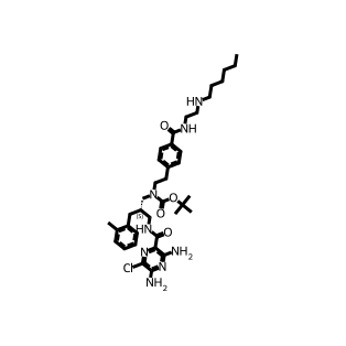 CCCCCCNCCNC(=O)c1ccc(CCN(C[C@H](CNC(=O)c2nc(Cl)c(N)nc2N)Cc2ccccc2C)C(=O)OC(C)(C)C)cc1